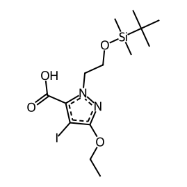 CCOc1nn(CCO[Si](C)(C)C(C)(C)C)c(C(=O)O)c1I